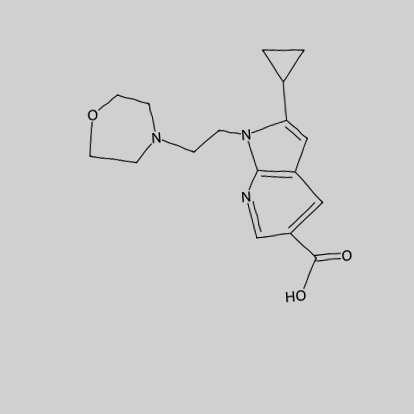 O=C(O)c1cnc2c(c1)cc(C1CC1)n2CCN1CCOCC1